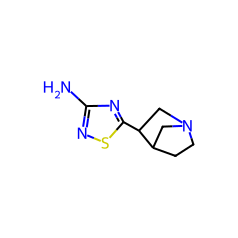 Nc1nsc(C2CN3CCC2C3)n1